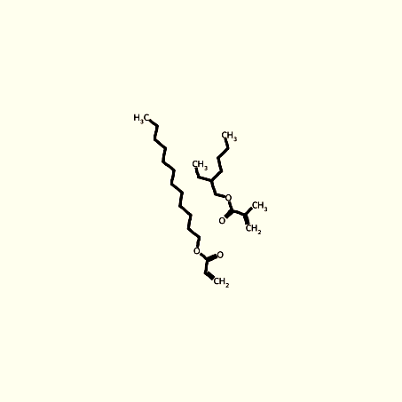 C=C(C)C(=O)OCC(CC)CCCC.C=CC(=O)OCCCCCCCCCCCC